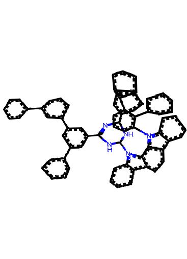 c1ccc(-c2cccc(-c3cc(C4=NC(c5ccccc5)NC(n5c6ccccc6c6ccc7c8ccccc8n(-c8cccc(-c9ccccc9)c8-c8ccccc8)c7c65)N4)cc(-c4ccccc4)c3)c2)cc1